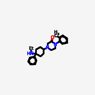 CCNC1(c2ccccc2)CCC(N2CCN(c3ccccc3C)C(=O)C2)CC1